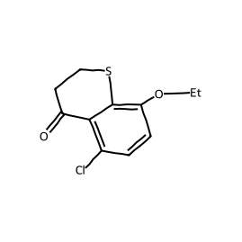 CCOc1ccc(Cl)c2c1SCCC2=O